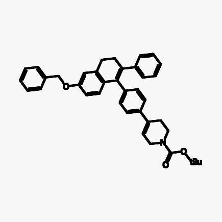 CC(C)(C)OC(=O)N1CC=C(c2ccc(C3=C(c4ccccc4)CCc4cc(OCc5ccccc5)ccc43)cc2)CC1